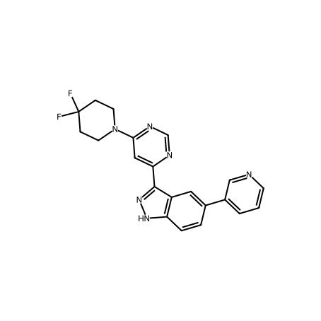 FC1(F)CCN(c2cc(-c3n[nH]c4ccc(-c5cccnc5)cc34)ncn2)CC1